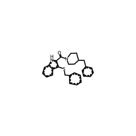 O=C(c1[nH]c2ccccc2c1SCc1ccccc1)N1CCC(Cc2ccccc2)CC1